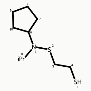 CC(C)N(SCCS)C1CCCC1